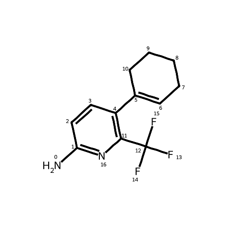 Nc1ccc(C2=CCCCC2)c(C(F)(F)F)n1